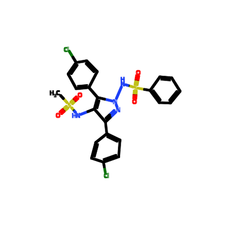 CS(=O)(=O)Nc1c(-c2ccc(Cl)cc2)nn(NS(=O)(=O)c2ccccc2)c1-c1ccc(Cl)cc1